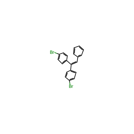 Brc1ccc(C(=Cc2ccccc2)c2ccc(Br)cc2)cc1